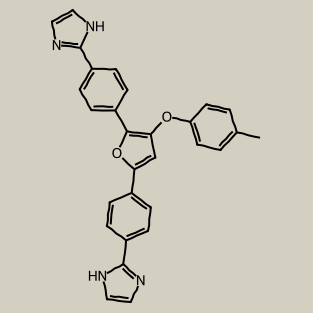 Cc1ccc(Oc2cc(-c3ccc(-c4ncc[nH]4)cc3)oc2-c2ccc(-c3ncc[nH]3)cc2)cc1